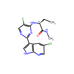 CC[C@H](Nc1nc(-c2c[nH]c3ncc(Cl)cc23)ncc1F)C(=O)NC